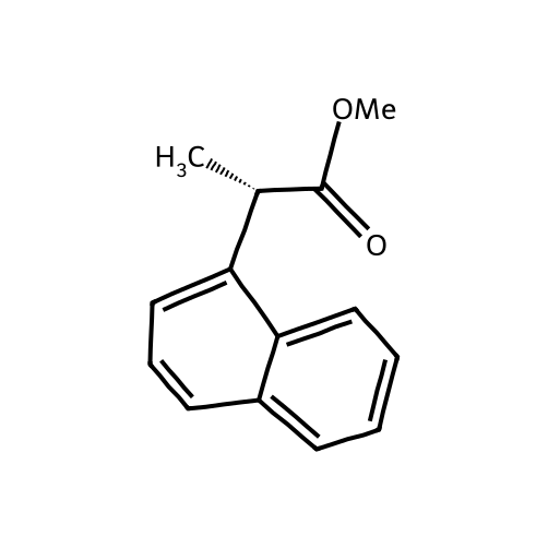 COC(=O)[C@@H](C)c1cccc2ccccc12